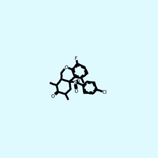 CC1CC2(S(=O)(=O)c3ccc(Cl)cc3)c3c(F)ccc(F)c3OCC2C(C)C1=O